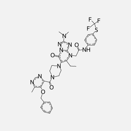 CCc1c(N2CCN(C(=O)c3ncnc(C)c3OCc3ccccc3)CC2)c(=O)n2nc(N(C)C)nc2n1CC(=O)Nc1ccc(SC(F)(F)F)cc1